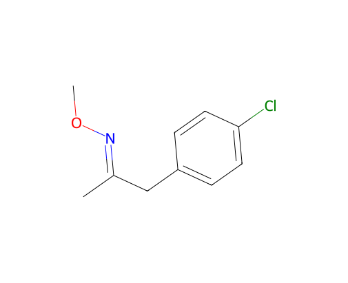 CON=C(C)Cc1ccc(Cl)cc1